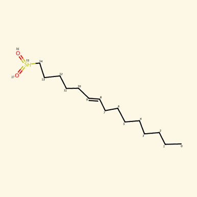 CCCCCCCCC=CCCCCC[SH](=O)=O